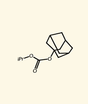 CC(C)OC(=O)OC12CC3CC(CC(C3)C1)C2